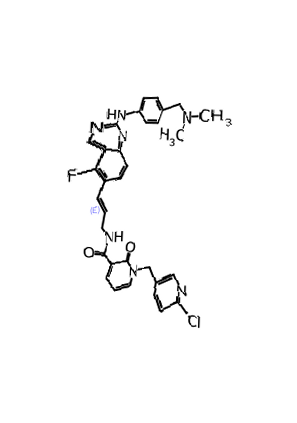 CN(C)Cc1ccc(Nc2ncc3c(F)c(/C=C/CNC(=O)c4cccn(Cc5ccc(Cl)nc5)c4=O)ccc3n2)cc1